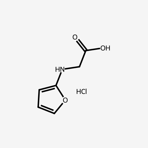 Cl.O=C(O)CNc1ccco1